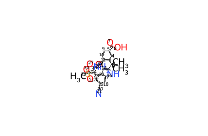 CC1(C)c2cc(C(=O)O)ccc2C(=O)c2c1[nH]c1cc(C#N)cc(C(C(N)=O)S(C)(=O)=O)c21